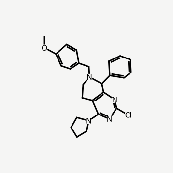 COc1ccc(CN2CCc3c(nc(Cl)nc3N3CCCC3)C2c2ccccc2)cc1